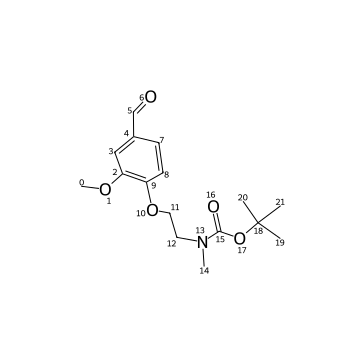 COc1cc(C=O)ccc1OCCN(C)C(=O)OC(C)(C)C